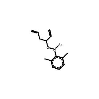 C=CCC(C=C)ON(C(C)=O)c1c(C)cccc1C